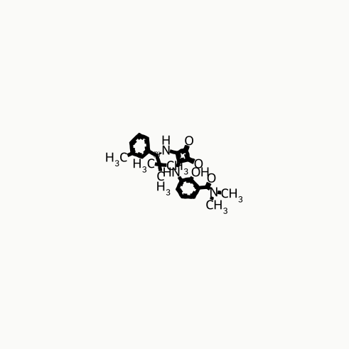 Cc1cccc([C@H](Nc2c(Nc3cccc(C(=O)N(C)C)c3O)c(=O)c2=O)C(C)(C)C)c1